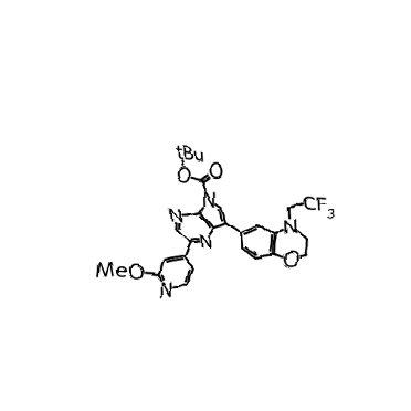 COc1cc(-c2cnc3c(n2)c(-c2ccc4c(c2)N(CC(F)(F)F)CCO4)cn3C(=O)OC(C)(C)C)ccn1